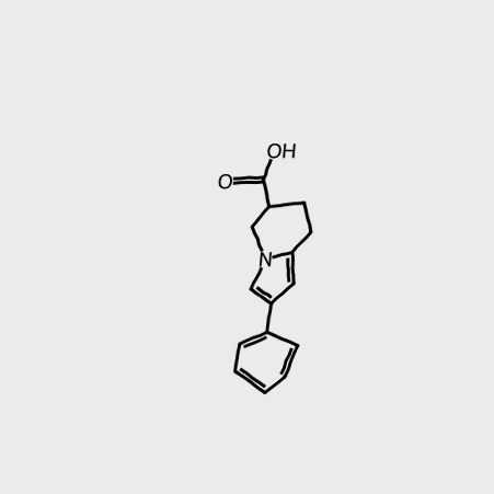 O=C(O)C1CCc2cc(-c3ccccc3)cn2C1